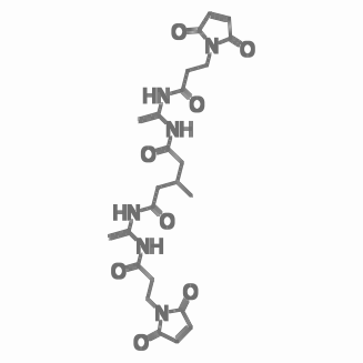 C=C(NC(=O)CCN1C(=O)C=CC1=O)NC(=O)CC(C)CC(=O)NC(=C)NC(=O)CCN1C(=O)C=CC1=O